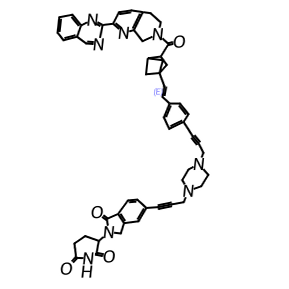 O=C1CCC(N2Cc3cc(C#CCN4CCN(CC#Cc5ccc(/C=C/C67CC(C6)C(C(=O)N6CCc8ccc(-c9ncc%10ccccc%10n9)nc8C6)C7)cc5)CC4)ccc3C2=O)C(=O)N1